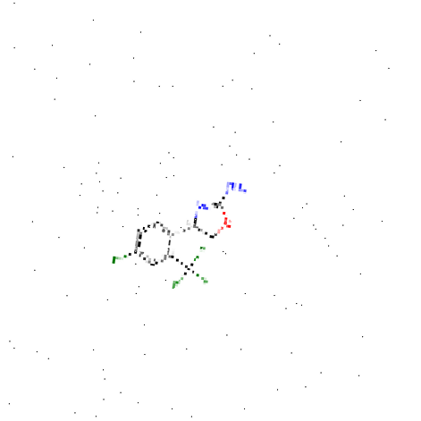 NC1=N[C@@H](c2ccc(F)cc2C(F)(F)F)CO1